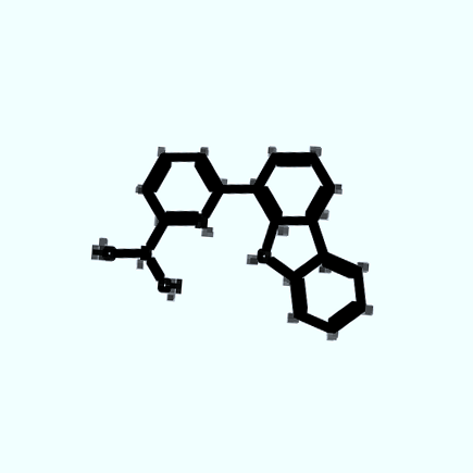 OB(O)c1cccc(-c2cccc3c2oc2ccccc23)n1